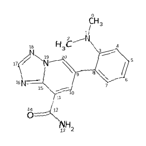 CN(C)c1ccccc1-c1cc(C(N)=O)c2n[c]nn2c1